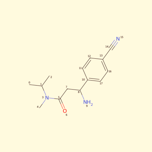 CC(C)N(C)C(=O)CC(N)c1ccc(C#N)cc1